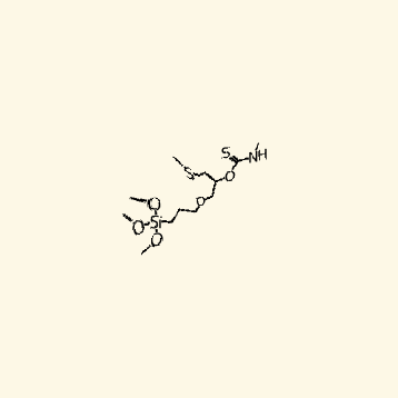 CNC(=S)OC(COCCC[Si](OC)(OC)OC)CSC